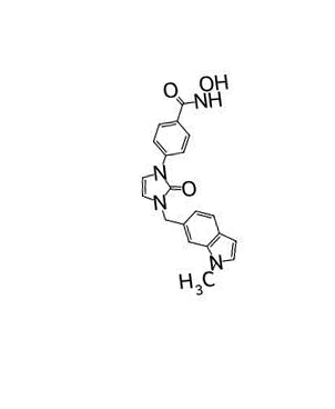 Cn1ccc2ccc(Cn3ccn(-c4ccc(C(=O)NO)cc4)c3=O)cc21